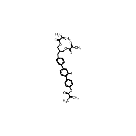 C=C(C)C(=O)OCC(COC(=O)C(C)=O)Cc1ccc(-c2ccc(-c3ccc(OC(=O)C(=C)C)cc3)c(F)c2)cc1